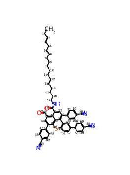 CCCCCCCCCCCCCCCCCCNC(=O)c1cc(-c2ccc(C#N)cc2)c2c3c(c(-c4ccc(C#N)cc4)cc(C=O)c13)Sc1ccc(-c3ccc(C#N)cc3)cc1-2